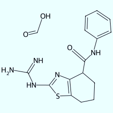 N=C(N)Nc1nc2c(s1)CCCC2C(=O)Nc1ccccc1.O=CO